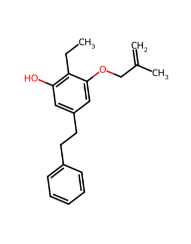 C=C(C)COc1cc(CCc2ccccc2)cc(O)c1CC